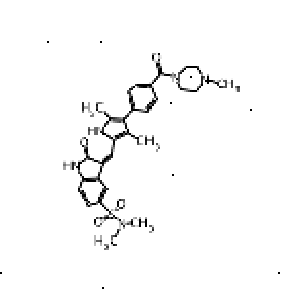 Cc1[nH]c(/C=C2\C(=O)Nc3ccc(S(=O)(=O)N(C)C)cc32)c(C)c1-c1ccc(C(=O)N2CCN(C)CC2)cc1